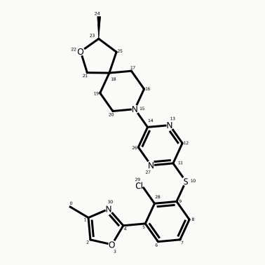 Cc1coc(-c2cccc(Sc3cnc(N4CCC5(CC4)CO[C@@H](C)C5)cn3)c2Cl)n1